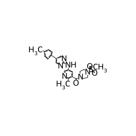 Cc1ccc(-c2cnc(Nc3cnc(C)c(C(=O)N4CCN(S(C)(=O)=O)CC4)c3)nc2)cc1